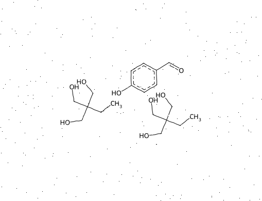 CCC(CO)(CO)CO.CCC(CO)(CO)CO.O=Cc1ccc(O)cc1